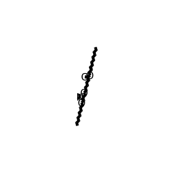 CCCCCCCCC=CCOC(=O)CCCCCOCC(COCCCCCCCCC)N(C)C